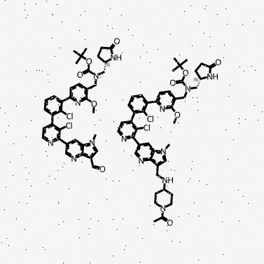 COc1nc(-c2cccc(-c3ccnc(-c4cnc5c(C=O)cn(C)c5c4)c3Cl)c2Cl)ccc1CN(C[C@@H]1CCC(=O)N1)C(=O)OC(C)(C)C.COc1nc(-c2cccc(-c3ccnc(-c4cnc5c(CNC6CCN(C(C)=O)CC6)cn(C)c5c4)c3Cl)c2Cl)ccc1CN(C[C@@H]1CCC(=O)N1)C(=O)OC(C)(C)C